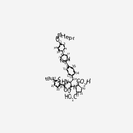 CCCCCCCOc1ccc(-c2cnc(-c3ccc(C[C@H](NC(=O)c4ccc(C(C)(C)C)s4)C(=O)N4C(C(=O)O)CCC4C(=O)O)cc3)nc2)cc1